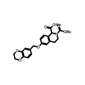 COC(=O)C1c2ccc(OCc3ccc4c(c3)OCCO4)cc2CCN1C(=O)OCC(C)C